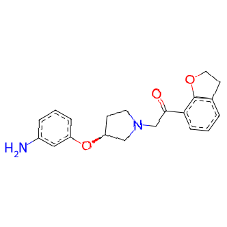 Nc1cccc(O[C@H]2CCN(CC(=O)c3cccc4c3OCC4)C2)c1